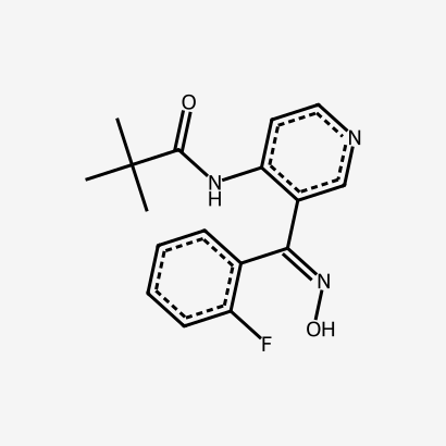 CC(C)(C)C(=O)Nc1ccncc1C(=NO)c1ccccc1F